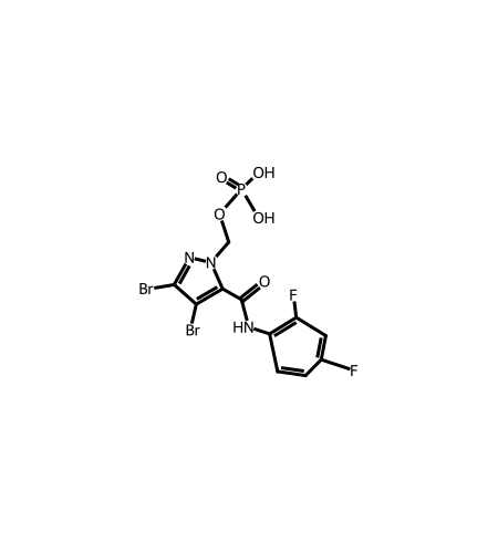 O=C(Nc1ccc(F)cc1F)c1c(Br)c(Br)nn1COP(=O)(O)O